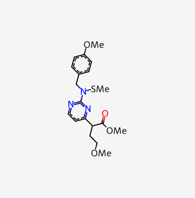 COCCC(C(=O)OC)c1ccnc(N(Cc2ccc(OC)cc2)SC)n1